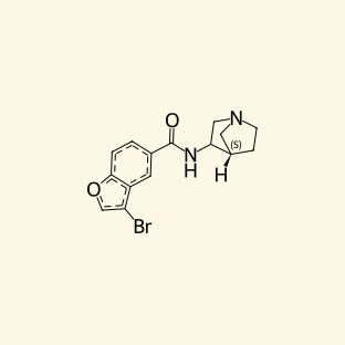 O=C(NC1CN2CC[C@H]1C2)c1ccc2occ(Br)c2c1